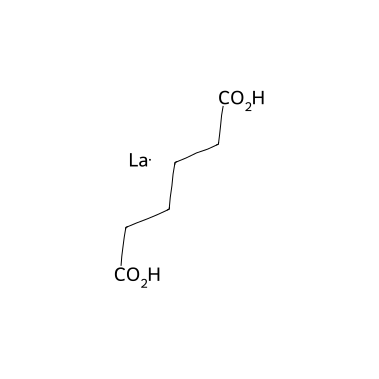 O=C(O)CCCCC(=O)O.[La]